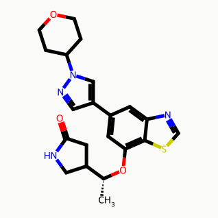 C[C@@H](Oc1cc(-c2cnn(C3CCOCC3)c2)cc2ncsc12)C1CNC(=O)C1